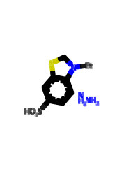 CCN1CSc2cc(S(=O)(=O)O)ccc21.N.N